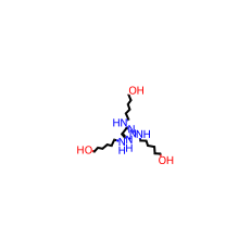 OCCCCCCNC1=CC(NCCCCCCO)=NN(NCCCCCCO)N1